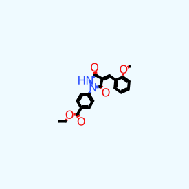 CCOC(=O)c1ccc(N2NC(=O)/C(=C/c3ccccc3OC)C2=O)cc1